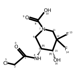 O=C(CCl)N[C@@H]1CN(C(=O)O)CC(F)(F)[C@@H]1O